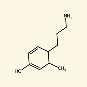 CC1C=C(O)C=CC1CCCN